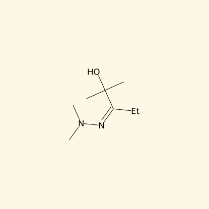 CCC(=NN(C)C)C(C)(C)O